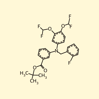 CC(C)(C)OC(=O)c1cccc(N(Cc2ccccc2F)c2ccc(OC(F)F)c(OC(F)F)c2)c1